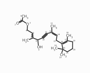 CC(=O)OCC=C(C)C(O)C#CC(C)=CCC1=C(C)CCCC1(C)C